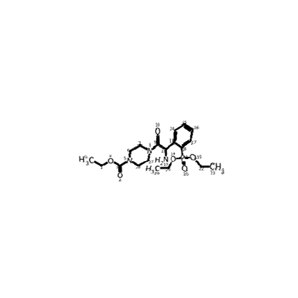 CCOC(=O)N1CCN(C(=O)C(N)c2ccccc2P(=O)(OCC)OCC)CC1